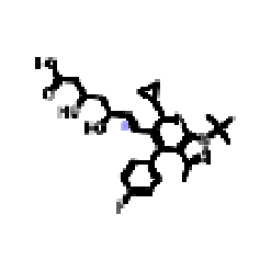 Cc1nn(C(C)(C)C)c2nc(C3CC3)c(/C=C/C(O)CC(O)CC(=O)O)c(-c3ccc(F)cc3)c12